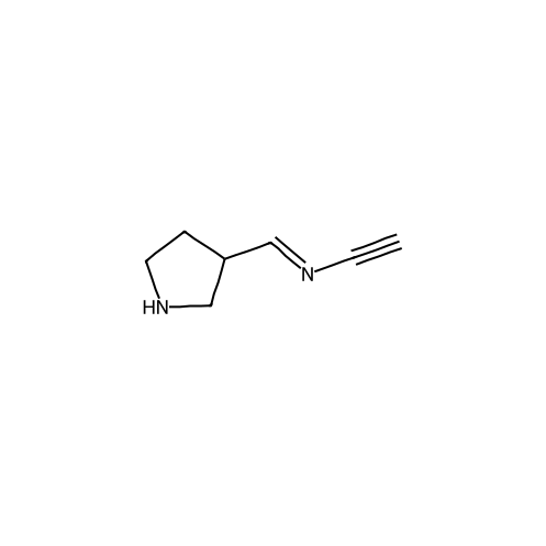 C#C/N=C/C1CCNC1